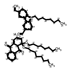 C=Cc1ccc2c(c1)c1cc(C=C)ccc1n2CCCCCCCC.CCCCCCCCOC1(OCCCCCCCC)C=CC=C2C(=O)c3ccccc3C(=O)C21